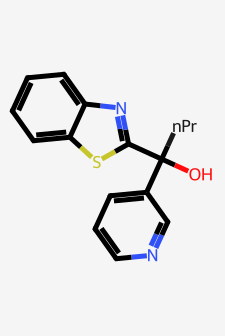 CCCC(O)(c1cccnc1)c1nc2ccccc2s1